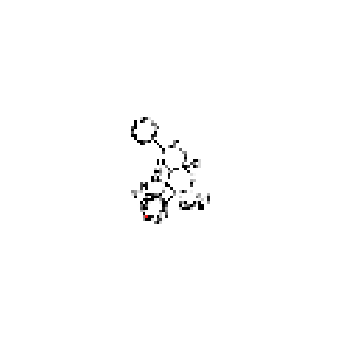 CO[C@@]1(c2ccncc2)[C@@H](S)O[C@@]2(Cl)COC(c3ccccc3)O[C@@H]2C1(N=[N+]=[N-])c1cccnc1